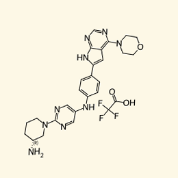 N[C@@H]1CCCN(c2ncc(Nc3ccc(-c4cc5c(N6CCOCC6)ncnc5[nH]4)cc3)cn2)C1.O=C(O)C(F)(F)F